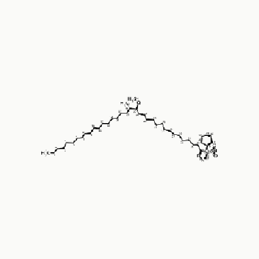 CCCCCCCCCCCCCCCCCC[C@H](C)[C@H](CCCCCCCCCCCCCCC1=NN=N[N+]1(c1ccccc1)[SH](=O)=O)OC